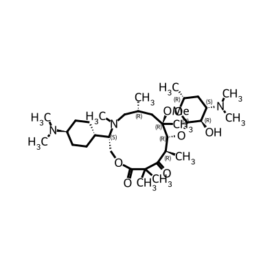 CO[C@]1(C)C[C@@H](C)CN(C)[C@@H]([C@H]2CC[C@H](N(C)C)CC2)COC(=O)C(C)(C)C(=O)[C@H](C)[C@H]1O[C@@H]1O[C@H](C)C[C@H](N(C)C)[C@H]1O